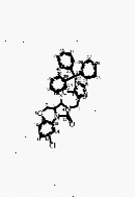 Cc1c(CN2CC3COc4ccc(Cl)cc4N3C2=O)ncn1C(c1ccccc1)(c1ccccc1)c1ccccc1